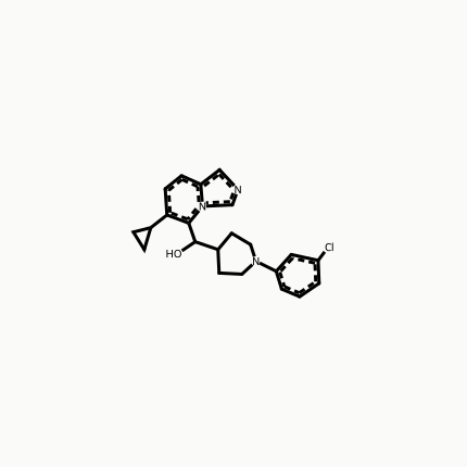 OC(c1c(C2CC2)ccc2cncn12)C1CCN(c2cccc(Cl)c2)CC1